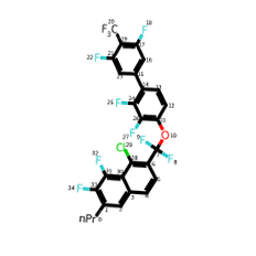 CCCc1cc2ccc(C(F)(F)Oc3ccc(-c4cc(F)c(C(F)(F)F)c(F)c4)c(F)c3F)c(Cl)c2c(F)c1F